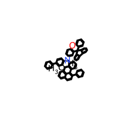 CC1(C)c2c(cccc2N(c2ccc(-c3ccccc3)cc2)c2ccc3c(c2)C2(c4ccccc4O3)c3ccccc3-c3ccccc32)-c2c(-c3ccccc3)ccc3cccc1c23